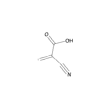 [C]=C(C#N)C(=O)O